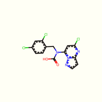 O=C(O)N(Cc1ccc(Cl)cc1Cl)c1cc(Cl)nc2ccnn12